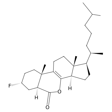 CC(C)CCC[C@@H](C)[C@H]1CC[C@H]2C3=C(CC[C@]12C)[C@@]1(C)CC[C@@H](F)C[C@@H]1C(=O)O3